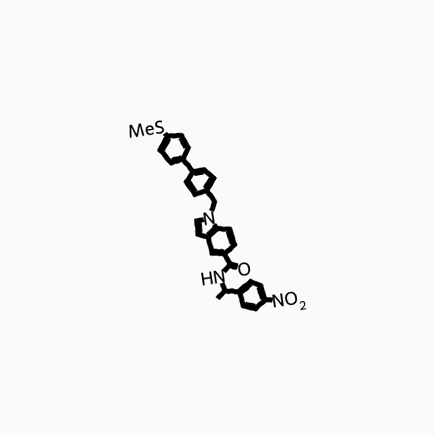 CSc1ccc(-c2ccc(Cn3ccc4cc(C(=O)NC(C)c5ccc([N+](=O)[O-])cc5)ccc43)cc2)cc1